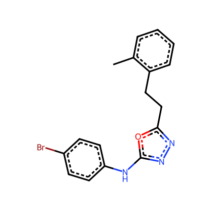 Cc1ccccc1CCc1nnc(Nc2ccc(Br)cc2)o1